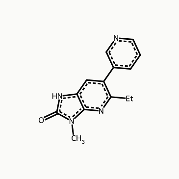 CCc1nc2c(cc1-c1cccnc1)[nH]c(=O)n2C